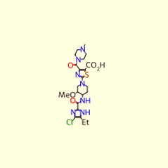 CCc1[nH]c(C(=O)NC2CCN(c3nc(C(=O)N4CCN(C)CC4)c(C(=O)O)s3)CC2OC)nc1Cl